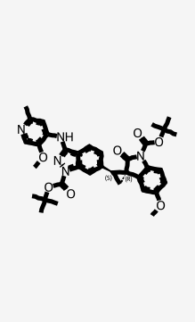 COc1ccc2c(c1)[C@]1(C[C@H]1c1ccc3c(Nc4cc(C)ncc4OC)nn(C(=O)OC(C)(C)C)c3c1)C(=O)N2C(=O)OC(C)(C)C